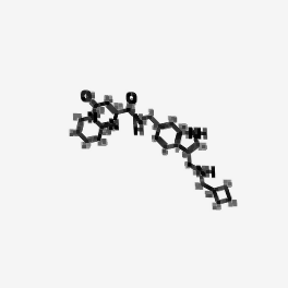 O=C(NCc1ccc2c(CNCC3CCC3)c[nH]c2c1)c1cc(=O)n2ccccc2n1